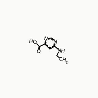 CCNc1cc(C(=O)O)ncn1